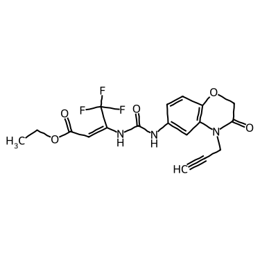 C#CCN1C(=O)COc2ccc(NC(=O)NC(=CC(=O)OCC)C(F)(F)F)cc21